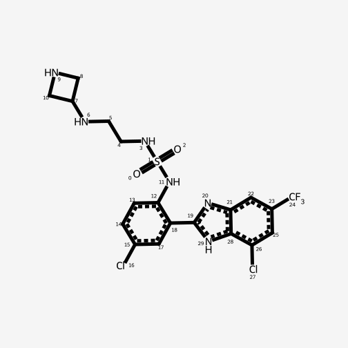 O=S(=O)(NCCNC1CNC1)Nc1ccc(Cl)cc1-c1nc2cc(C(F)(F)F)cc(Cl)c2[nH]1